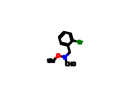 CC(C)(C)ON(C=O)Cc1ccccc1Br